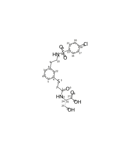 O=C(CSc1cccc(CCNS(=O)(=O)c2ccc(Cl)cc2)c1)N[C@@H](CO)C(=O)O